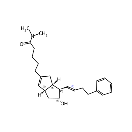 CN(C)C(=O)CCCCC1=C[C@H]2C[C@@H](O)[C@H](/C=C/CCc3ccccc3)[C@H]2C1